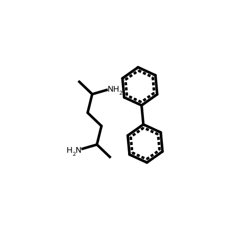 CC(N)CCC(C)N.c1ccc(-c2ccccc2)cc1